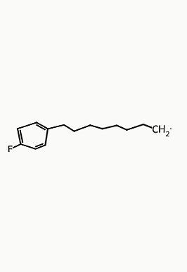 [CH2]CCCCCCCc1ccc(F)cc1